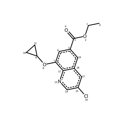 CCOC(=O)c1cc(OC2CC2)c2ncc(Cl)cc2c1